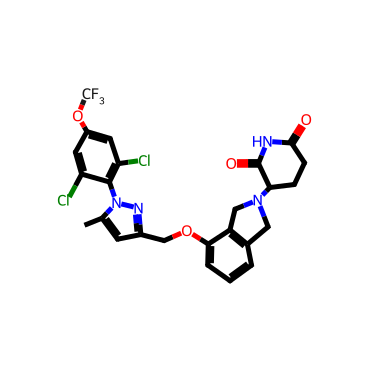 Cc1cc(COc2cccc3c2CN(C2CCC(=O)NC2=O)C3)nn1-c1c(Cl)cc(OC(F)(F)F)cc1Cl